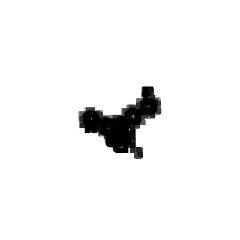 CS(=O)(=O)NC1CCN(c2ccccn2)C[C@H]1COC1CC=C(c2cccc(F)c2)CC1